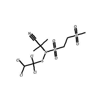 CC(C)(C#N)N(SC(Cl)(Cl)C(Cl)Cl)S(=O)(=O)CCS(C)(=O)=O